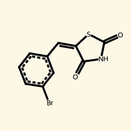 O=C1NC(=O)/C(=C\c2cccc(Br)c2)S1